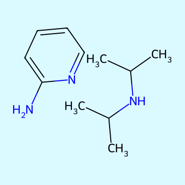 CC(C)NC(C)C.Nc1ccccn1